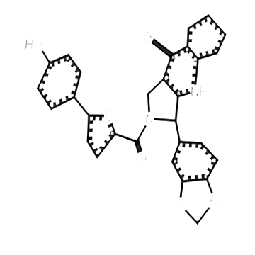 O=C(c1ccc(-c2ccc(O)cc2)o1)N1Cc2c([nH]c3ccccc3c2=O)C1c1ccc2c(c1)OCO2